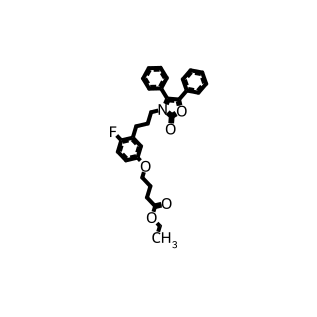 CCOC(=O)CCCOc1ccc(F)c(CCCn2c(-c3ccccc3)c(-c3ccccc3)oc2=O)c1